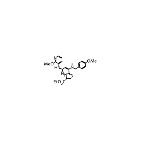 CCOC(=O)c1cnc2c(N(C)Cc3ccc(OC)cc3)cc(Nc3cccnc3OC)nn12